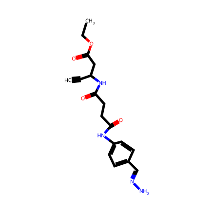 C#CC(CC(=O)OCC)NC(=O)CCC(=O)Nc1ccc(C=NN)cc1